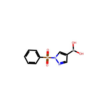 O=S(=O)(c1ccccc1)n1cc(B(O)O)cn1